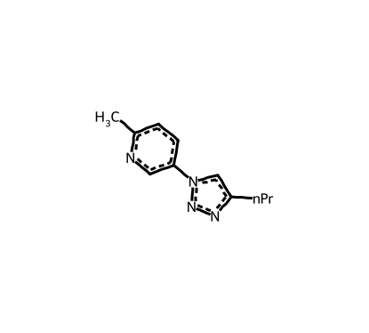 CCCc1cn(-c2ccc(C)nc2)nn1